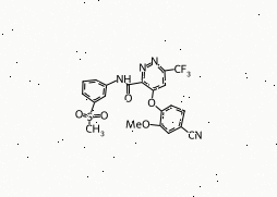 COc1cc(C#N)ccc1Oc1cc(C(F)(F)F)nnc1C(=O)Nc1cccc(S(C)(=O)=O)c1